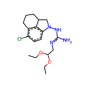 CCOC(CN=C(N)NN1CC2CCCc3c(Cl)ccc1c32)OCC